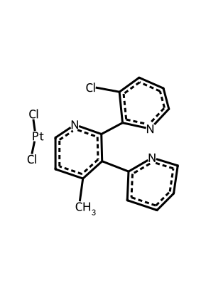 Cc1ccnc(-c2ncccc2Cl)c1-c1ccccn1.[Cl][Pt][Cl]